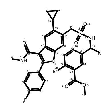 CNC(=O)c1c(-c2ccc(F)cc2)oc2cc(CS(=O)(=O)NC(C)c3ccc(Br)c(C(=O)OC)c3)c(C3CC3)cc12